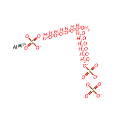 O.O.O.O.O.O.O.O.O.O.O.O.O.O.O=S(=O)([O-])[O-].O=S(=O)([O-])[O-].O=S(=O)([O-])[O-].[Al+3].[Al+3]